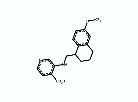 O=C(O)c1ccncc1NCC1CCCc2cc(OC(F)(F)F)ccc21